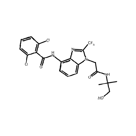 CC(C)(CO)NC(=O)Cn1c(C(F)(F)F)nc2c(NC(=O)c3c(Cl)cccc3Cl)cccc21